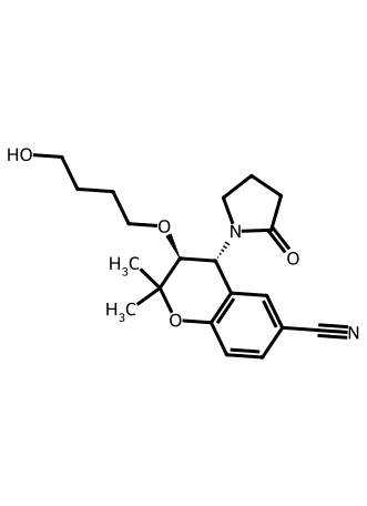 CC1(C)Oc2ccc(C#N)cc2[C@@H](N2CCCC2=O)[C@@H]1OCCCCO